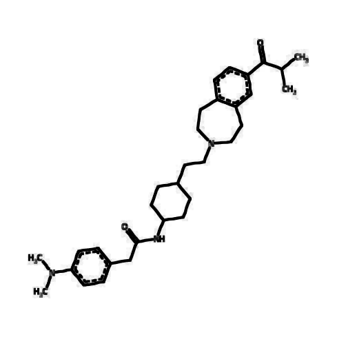 CC(C)C(=O)c1ccc2c(c1)CCN(CCC1CCC(NC(=O)Cc3ccc(N(C)C)cc3)CC1)CC2